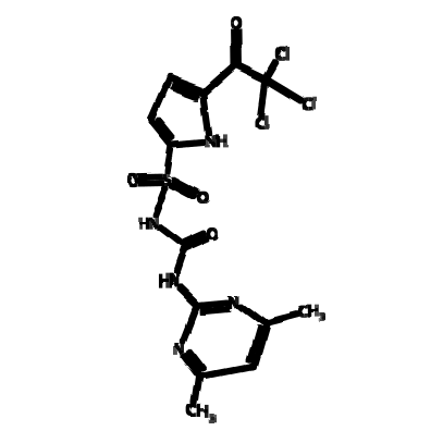 Cc1cc(C)nc(NC(=O)NS(=O)(=O)c2ccc(C(=O)C(Cl)(Cl)Cl)[nH]2)n1